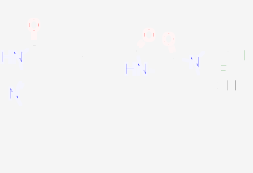 C[C@@H]1[C@H](c2ccccc2)C[C@H](NC(=O)c2ccc3c(c2)C[C@@]2(C3)C(=O)Nc3ncccc32)C(=O)N1CC(F)(F)F